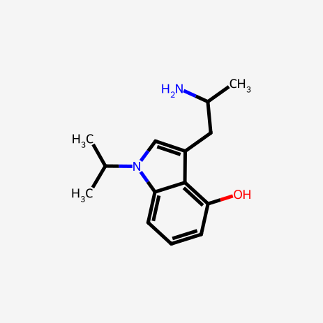 CC(N)Cc1cn(C(C)C)c2cccc(O)c12